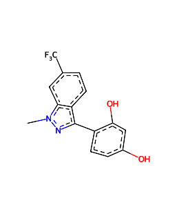 Cn1nc(-c2ccc(O)cc2O)c2ccc(C(F)(F)F)cc21